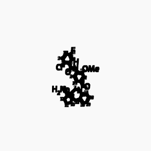 COc1cc(C(=O)N2CCC3(CCCC3ON)Cc3ccccc32)ccc1NC(=O)c1cc(F)ccc1Cl